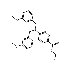 CCOC(=O)c1ccc(N(Cc2cccc(OC)c2)Cc2cccc(OC)c2)nc1